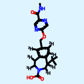 [2H]c1c([2H])c2c(c([2H])c1COc1cnc(C(=O)NC)cn1)C([2H])C([2H])N(C(=O)O)C([2H])C2([2H])C(C)(C)C